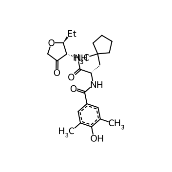 CC[C@@H]1OCC(=O)[C@H]1NC(=O)[C@H](CC1(C)CCCC1)NC(=O)c1cc(C)c(O)c(C)c1